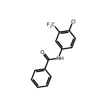 O=C(Nc1ccc(Cl)c(C(F)(F)F)c1)c1ccccc1